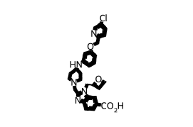 O=C(O)c1ccc2nc(CN3CCC(Nc4cccc(OCc5ccc(Cl)cn5)c4)CC3)n(C[C@@H]3CCO3)c2c1